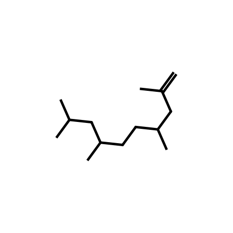 C=C(C)CC(C)CCC(C)CC(C)C